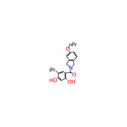 [CH2]CCOc1ccc2c(c1)CN(C(=O)c1cc(C(C)C)c(O)cc1O)C2